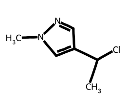 CC(Cl)c1cnn(C)c1